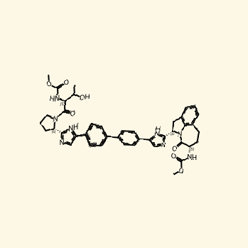 COC(=O)N[C@H]1CCc2cccc3c2N(C1=O)[C@H](c1ncc(-c2ccc(-c4ccc(-c5cnc([C@@H]6CCCN6C(=O)[C@@H](NC(=O)OC)C(C)O)[nH]5)cc4)cc2)[nH]1)C3